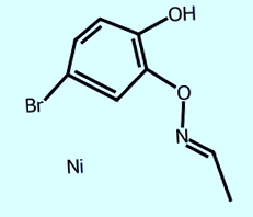 CC=NOc1cc(Br)ccc1O.[Ni]